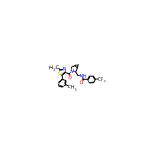 Cc1cccc(-c2sc(C)nc2C(=O)N2CC3CC3C2CNC(=O)c2ccc(C(F)(F)F)cc2)c1